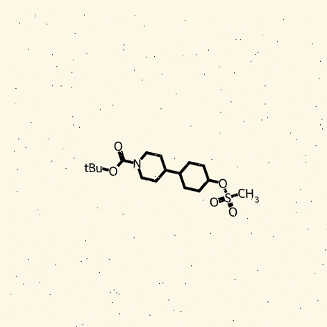 CC(C)(C)OC(=O)N1CCC(C2CCC(OS(C)(=O)=O)CC2)CC1